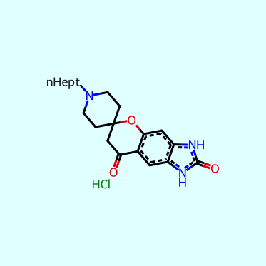 CCCCCCCN1CCC2(CC1)CC(=O)c1cc3[nH]c(=O)[nH]c3cc1O2.Cl